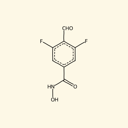 O=Cc1c(F)cc(C(=O)NO)cc1F